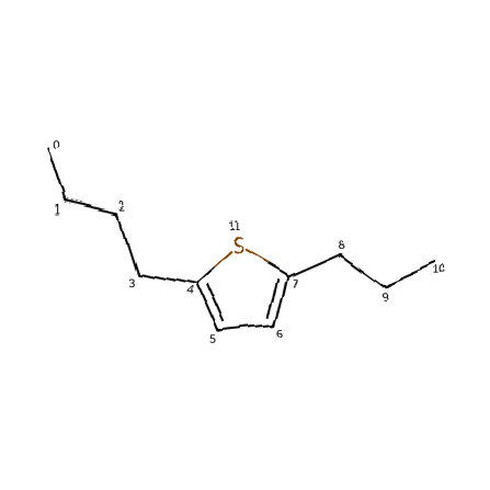 CCCCc1ccc(CCC)s1